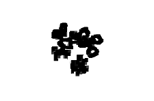 F[P-](F)(F)(F)(F)F.O=[N+]([O-])c1cc(C(F)(F)F)cc2c1nnn2O[P+](N1CCCC1)(N1CCCC1)N1CCCC1